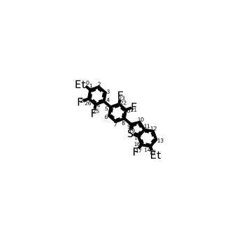 CCc1ccc(-c2ccc(-c3cc4ccc(CC)c(F)c4s3)c(F)c2F)c(F)c1F